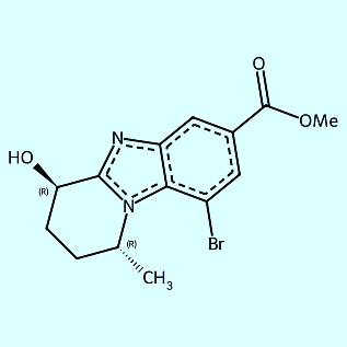 COC(=O)c1cc(Br)c2c(c1)nc1n2[C@H](C)CC[C@H]1O